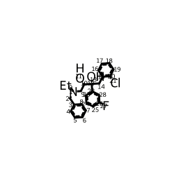 CCN(Cc1ccccc1)CC(O)[C@@](O)(Cc1ccccc1Cl)c1cccc(F)c1